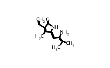 C=CC1=C(C)/C(=C/C(N)=C(C)C)NC1=O